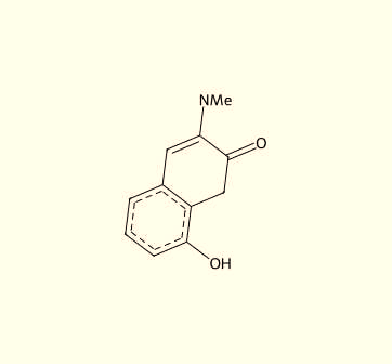 CNC1=Cc2cccc(O)c2CC1=O